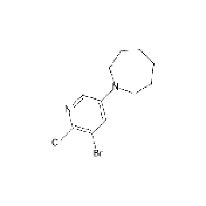 Clc1ncc(N2CCCCCC2)cc1Br